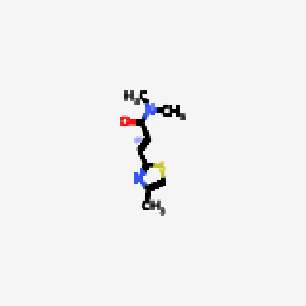 Cc1csc(/C=C/C(=O)N(C)C)n1